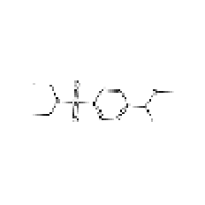 CCN(CC)S(=O)(=O)c1ccc(C(C)SC)cc1